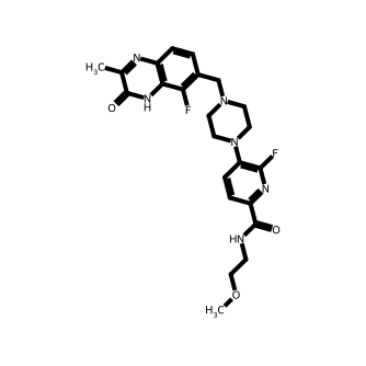 COCCNC(=O)c1ccc(N2CCN(Cc3ccc4nc(C)c(=O)[nH]c4c3F)CC2)c(F)n1